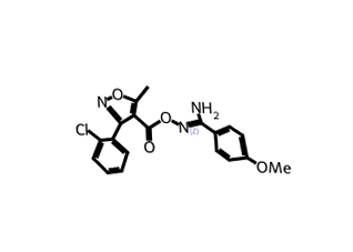 COc1ccc(/C(N)=N/OC(=O)c2c(-c3ccccc3Cl)noc2C)cc1